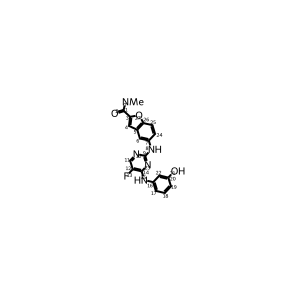 CNC(=O)c1cc2cc(Nc3ncc(F)c(Nc4cccc(O)c4)n3)ccc2o1